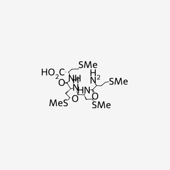 CSCC[C@H](NC(=O)[C@H](CCSC)NC(=O)[C@H](CCSC)NC(=O)[C@@H](N)CCSC)C(=O)O